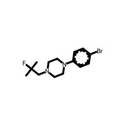 CC(C)(F)CN1CCN(c2ccc(Br)cc2)CC1